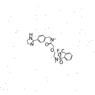 CN(Cc1ccc(C2=NCCN2)cc1)C(=O)COCCN(C)S(=O)(=O)c1ccccc1C(F)(F)F